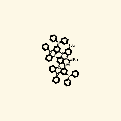 CCN1c2cc(N(c3ccccc3)c3ccccc3)cc3c2B(c2ccccc2N3c2ccccc2)c2cc3c4c(c21)B(C(C)C(C)(C)C)c1ccc(C(C)(C)C)cc1N4c1cc(N(c2ccccc2)c2ccccc2)cc2c1B3c1ccccc1N2c1ccccc1